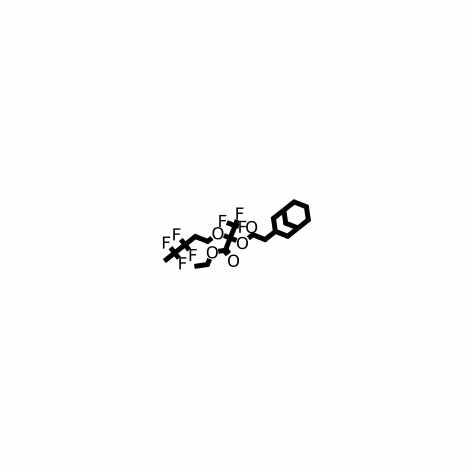 CCOC(=O)C(OCCC(F)(F)C(C)(F)F)(OC(=O)CC1CC2CCCC(C2)C1)C(F)(F)F